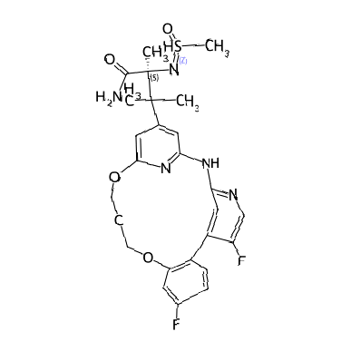 C/[SH](=O)=N/[C@](C)(C(N)=O)C(C)(C)c1cc2nc(c1)OCCCOc1cc(F)ccc1-c1cc(ncc1F)N2